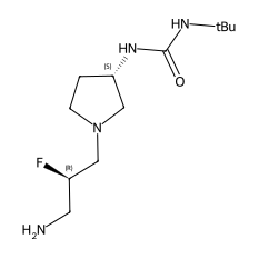 CC(C)(C)NC(=O)N[C@H]1CCN(C[C@H](F)CN)C1